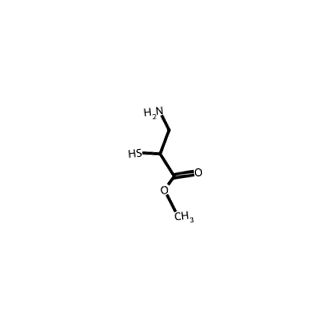 COC(=O)C(S)CN